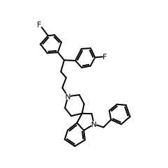 Fc1ccc(C(CCCN2CCC3(CC2)CN(Cc2ccccc2)c2ccccc23)c2ccc(F)cc2)cc1